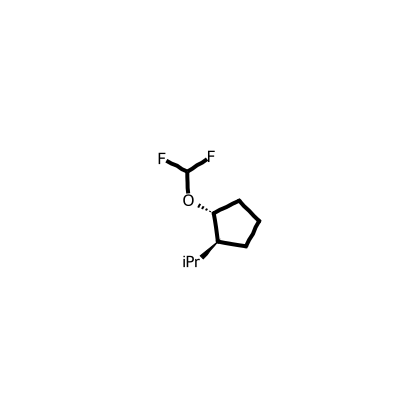 CC(C)[C@@H]1CCC[C@H]1OC(F)F